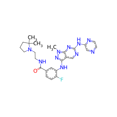 Cn1nc(Nc2cc(C(=O)NCCN3CCCC3(C)C)ccc2F)c2cnc(Nc3cnccn3)nc21